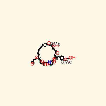 COC1CC(CC(C)C2CC(=O)C(C)/C=C(\C)C(O)C(OC)C(=O)C(C)CC(C)/C=C/C=C/C=C(\C)C(OCCC3COC3)CC3CCC(C)C(O)(O3)C(=O)C(=O)N3CCCCC3C(=O)O2)CCC1OCCO